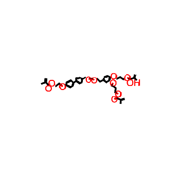 C=C(C)C(=O)OCCCOc1cc(CCOCOCc2ccc(-c3ccc(OCCOC(=O)C(=C)C)cc3)cc2)ccc1OCCCOC(O)C(=C)C